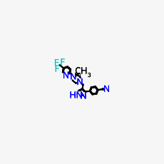 C[C@@H]1CN(Cc2c[nH]nc2-c2ccc(C#N)cc2)CCN1c1ccc(C(F)(F)F)cn1